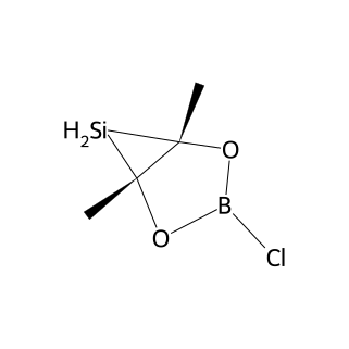 C[C@@]12OB(Cl)O[C@]1(C)[SiH2]2